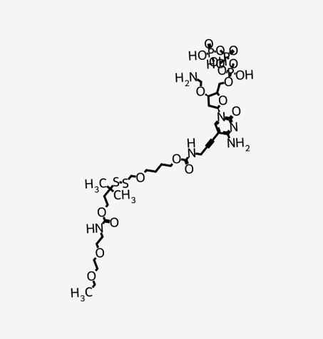 CCOCCOCCNC(=O)OCCC(C)(C)SSCOCCCCOC(=O)NCC#Cc1cn([C@H]2C[C@@H](OCN)C(COP(=O)(O)OP(=O)(O)OP(=O)(O)O)O2)c(=O)nc1N